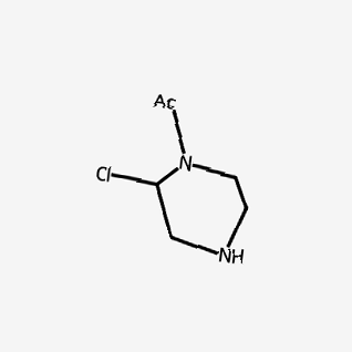 CC(=O)N1CCNCC1Cl